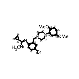 C=N/C(=N\c1ccc(Br)cc1CN1CCN(c2cc(OC)ccc2OC)CC1)C1CC1